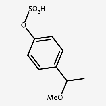 COC(C)c1ccc(OS(=O)(=O)O)cc1